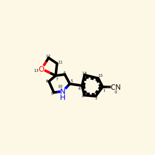 N#Cc1ccc(C2CC3(CCN2)CCO3)cc1